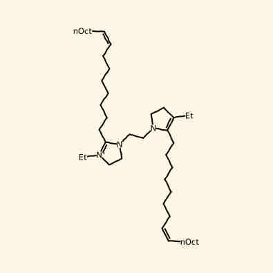 CCCCCCCC/C=C\CCCCCCCC1=C(CC)CCN1CCN1CC[N+](CC)=C1CCCCCCC/C=C\CCCCCCCC